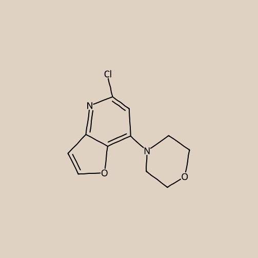 Clc1cc(N2CCOCC2)c2occc2n1